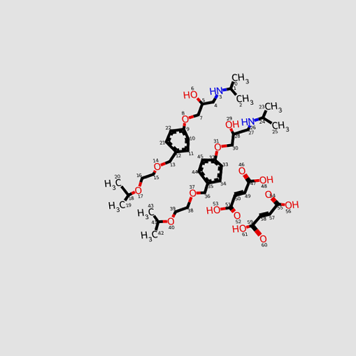 CC(C)NCC(O)COc1ccc(COCCOC(C)C)cc1.CC(C)NCC(O)COc1ccc(COCCOC(C)C)cc1.O=C(O)/C=C/C(=O)O.O=C(O)/C=C/C(=O)O